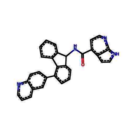 O=C(NC1c2ccccc2-c2c(-c3ccc4ncccc4c3)cccc21)c1ccnc2[nH]ccc12